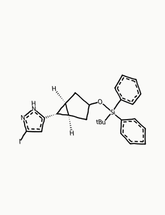 CC(C)(C)[Si](OC1C[C@@H]2[C@H](C1)[C@H]2c1cc(I)n[nH]1)(c1ccccc1)c1ccccc1